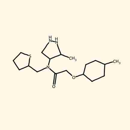 CC1CCC(OCC(=O)N(CC2CCCS2)C2CNNC2C)CC1